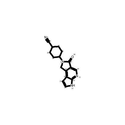 N#CC1CCC(N2Cc3c(cnc4[nH]ccc34)C2=O)CC1